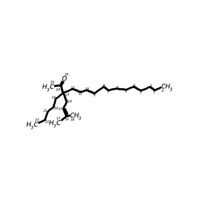 CCCCCCCCCCCCCC(CC=C(C)C)(CCCCC)C(C)=O